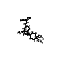 CC1(C)CCN(C[C@@H]2CC[C@@H](CCB(O)O)C[C@]2(N)C(=O)O)CC1